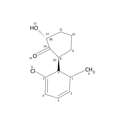 CC1C=CC=C(Cl)C1[C@@H]1CCC[C@@H](O)C1=O